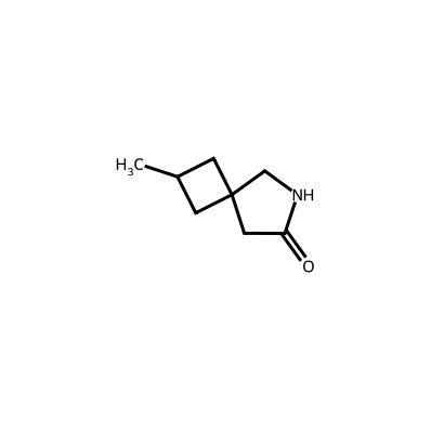 CC1CC2(CNC(=O)C2)C1